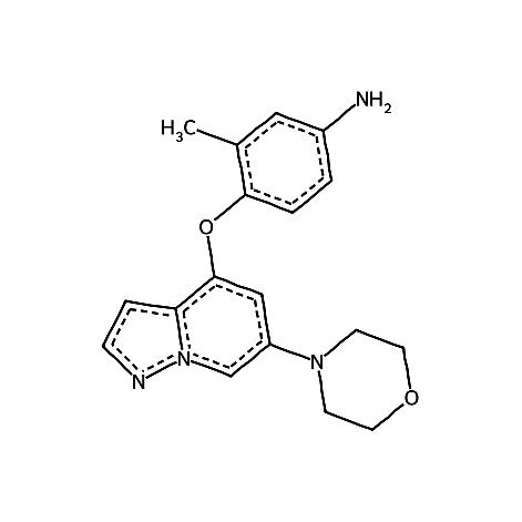 Cc1cc(N)ccc1Oc1cc(N2CCOCC2)cn2nccc12